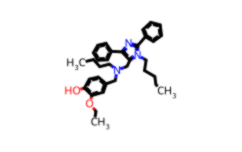 CCCCCn1c(-c2ccccc2)nc(-c2ccccc2)c1CN(CCCC)Cc1ccc(O)c(OCC)c1